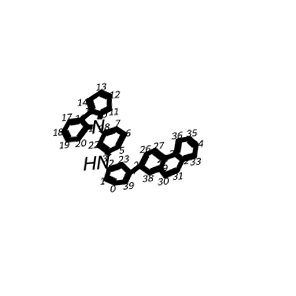 c1cc(Nc2cccc(-n3c4ccccc4c4ccccc43)c2)cc(-c2ccc3c(ccc4ccccc43)c2)c1